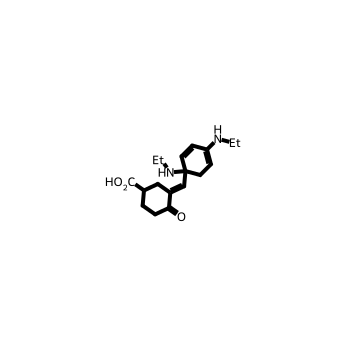 CCNC1=CCC(C=C2CC(C(=O)O)CCC2=O)(NCC)C=C1